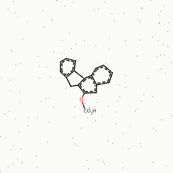 O=C(O)Oc1cc2ccccc2c2c1Cc1ccccc1-2